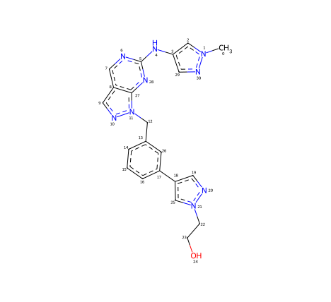 Cn1cc(Nc2ncc3cnn(Cc4cccc(-c5cnn(CCO)c5)c4)c3n2)cn1